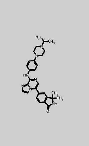 CC(C)N1CCN(c2ccc(Nc3ncc(-c4ccc5c(c4)C(C)(C)NC5=O)n4ccnc34)cc2)CC1